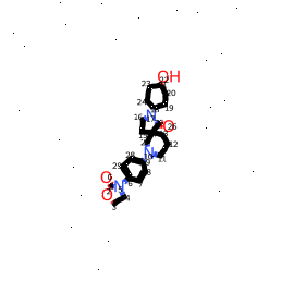 O=C1OCCN1c1ccc(N2CCCC3(CCN(C4CCC(O)CC4)C3=O)C2)cc1